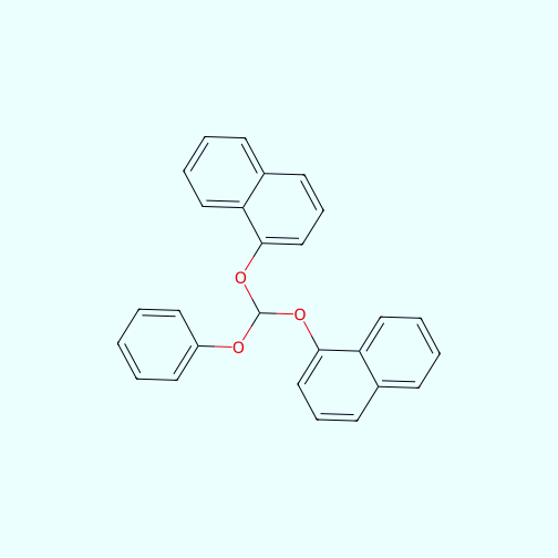 c1ccc(OC(Oc2cccc3ccccc23)Oc2cccc3ccccc23)cc1